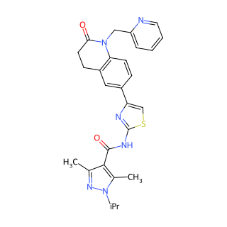 Cc1nn(C(C)C)c(C)c1C(=O)Nc1nc(-c2ccc3c(c2)CCC(=O)N3Cc2ccccn2)cs1